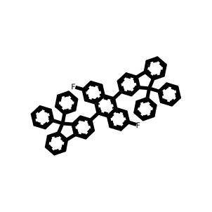 Fc1ccc2c(-c3ccc4c(c3)C(c3ccccc3)(c3ccccc3)c3ccccc3-4)c3cc(F)ccc3c(-c3ccc4c(c3)C(c3ccccc3)(c3ccccc3)c3ccccc3-4)c2c1